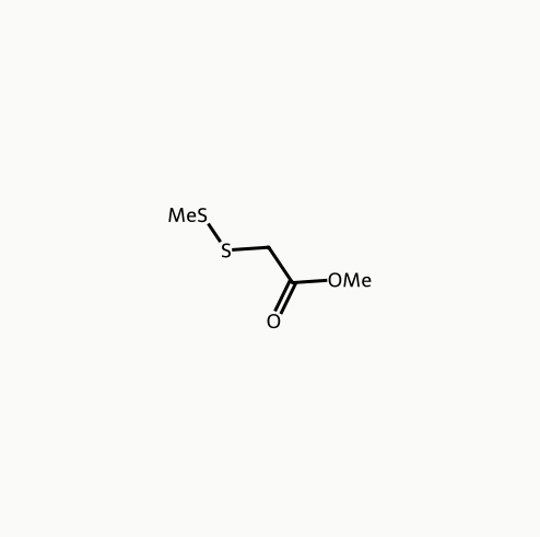 COC(=O)CSSC